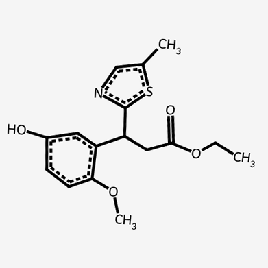 CCOC(=O)CC(c1ncc(C)s1)c1cc(O)ccc1OC